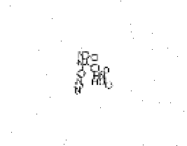 CN1CCN(c2ccc(-c3c(-c4ccc(C(=O)NCC5(O)CCCC5)cc4)c4c(Cl)ccnc4n3C)cc2)CC1